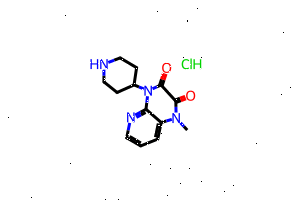 Cl.Cn1c(=O)c(=O)n(C2CCNCC2)c2ncccc21